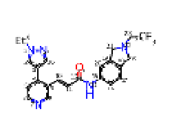 CCn1cc(-c2ccncc2C=CC(=O)Nc2ccc3c(c2)CN(CC(F)(F)F)C3)cn1